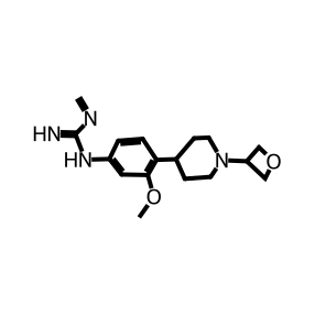 C=NC(=N)Nc1ccc(C2CCN(C3COC3)CC2)c(OC)c1